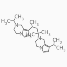 CC(C)c1ccn2c1CN(C(C)(C)CC(C)c1ncn3c1CN(C(C)C)CC3)CC2